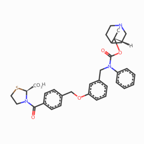 O=C(O)[C@@H]1SCCN1C(=O)c1ccc(COc2cccc(CN(C(=O)O[C@H]3CN4CCC3CC4)c3ccccc3)c2)cc1